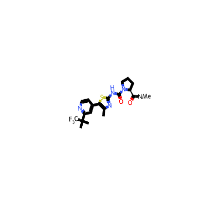 CNC(=O)[C@@H]1CCCN1C(=O)Nc1nc(C)c(-c2ccnc(C(C)(C)C(F)(F)F)c2)s1